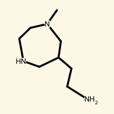 CN1CCNCC(CCN)C1